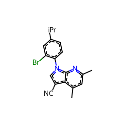 Cc1cc(C)c2c(C#N)cn(-c3ccc(C(C)C)cc3Br)c2n1